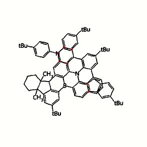 CC(C)(C)c1ccc(N(c2ccc(C(C)(C)C)cc2)c2cc3c4c(c2)N(c2c(-c5ccccc5)cc(C(C)(C)C)cc2-c2ccccc2)c2c(ccc5c2Cc2ccc(C(C)(C)C)cc2-5)B4c2cc(C(C)(C)C)cc4c2C3C2(C)CCCCC42C)cc1